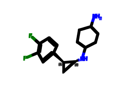 NC1CCC(N[C@@H]2C[C@H]2c2ccc(F)c(F)c2)CC1